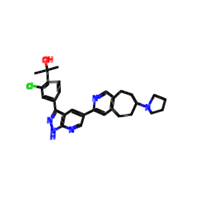 CC(C)(O)c1ccc(-c2n[nH]c3ncc(-c4cc5c(cn4)CCC(N4CCCC4)CC5)cc23)cc1Cl